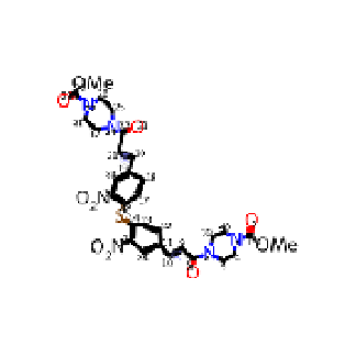 COC(=O)N1CCN(C(=O)/C=C/c2ccc(Sc3ccc(/C=C/C(=O)N4CCN(C(=O)OC)CC4)cc3[N+](=O)[O-])c([N+](=O)[O-])c2)CC1